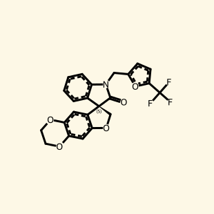 O=C1N(Cc2ccc(C(F)(F)F)o2)c2ccccc2[C@]12COc1cc3c(cc12)OCCO3